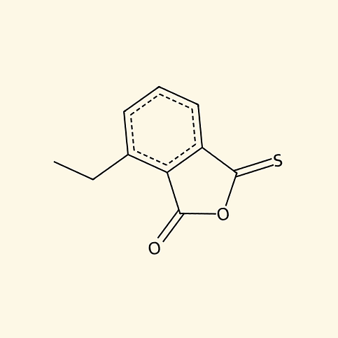 CCc1cccc2c1C(=O)OC2=S